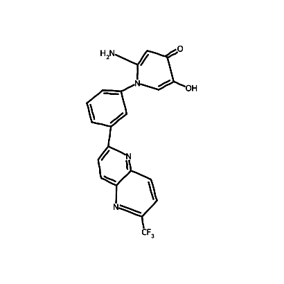 Nc1cc(=O)c(O)cn1-c1cccc(-c2ccc3nc(C(F)(F)F)ccc3n2)c1